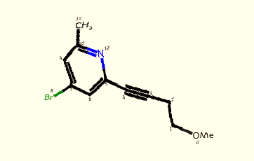 COCCC#Cc1cc(Br)cc(C)n1